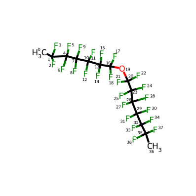 CC(F)(F)C(F)(F)C(F)(F)C(F)(F)C(F)(F)C(F)(F)OC(F)(F)C(F)(F)C(F)(F)C(F)(F)C(F)(F)C(C)(F)F